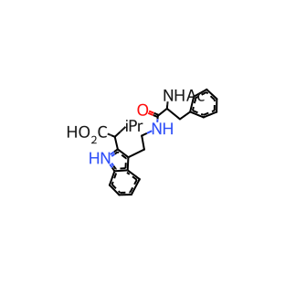 CC(=O)NC(Cc1ccccc1)C(=O)NCCc1c(C(C(=O)O)C(C)C)[nH]c2ccccc12